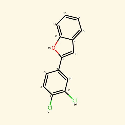 Clc1ccc(-c2cc3ccccc3o2)cc1Cl